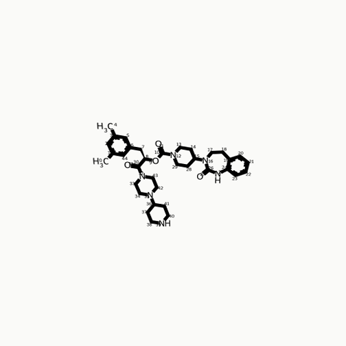 Cc1cc(C)cc(C[C@@H](OC(=O)N2CCC(N3CCc4ccccc4NC3=O)CC2)C(=O)N2CCN(C3CCNCC3)CC2)c1